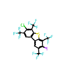 FC(F)(F)c1cc2c(sc3c(C(F)(F)F)c(I)c(C(F)(F)F)cc32)c(C(F)(F)F)c1Cl